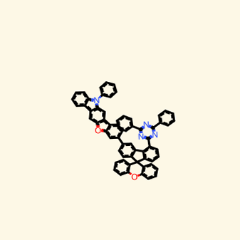 c1ccc(-c2nc(-c3ccccc3)nc(-c3cccc4c3-c3cc(-c5ccc6c(c5)oc5cc7c8ccccc8n(-c8ccccc8)c7cc56)ccc3C43c4ccccc4Oc4ccccc43)n2)cc1